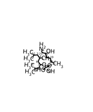 CC(C)CC(C)CC(CC(C)C)OP(=O)(O)O.CCCCC(O)CN